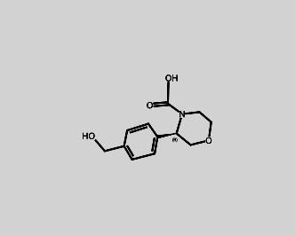 O=C(O)N1CCOC[C@H]1c1ccc(CO)cc1